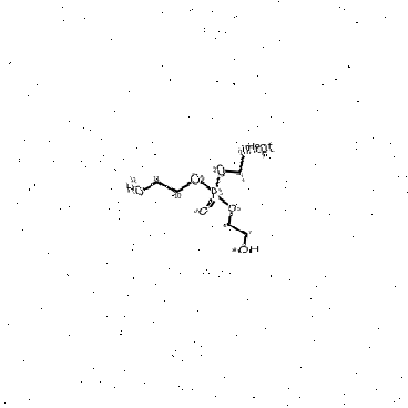 CCCCCCCCOP(=O)(OCCO)OCCO